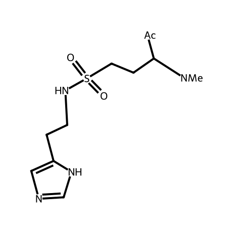 CNC(CCS(=O)(=O)NCCc1cnc[nH]1)C(C)=O